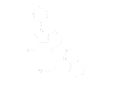 COCCN(C(=O)c1cnc2c(c(C)nn2-c2ccccc2)c1Cl)c1ccc(Cl)cc1